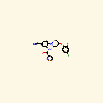 N#Cc1ccc(N2CCC(Oc3ccc(F)cc3F)CC2)c(NC(=O)c2ccsn2)c1